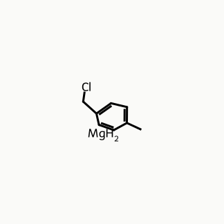 Cc1ccc(CCl)cc1.[MgH2]